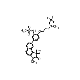 CN(CCCOc1ncc(-c2ccc3ncc4c(c3c2)C2(CCC2)C(=O)N4C)cc1NS(C)(=O)=O)CC(F)(F)F